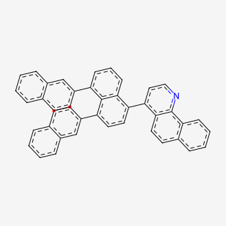 c1ccc2cc(-c3cccc4c(-c5ccnc6c5ccc5ccccc56)ccc(-c5ccc6ccccc6c5)c34)ccc2c1